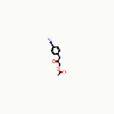 CC(=O)OCC(=O)Cc1ccc(C#N)cc1